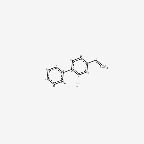 C=Cc1ccc(-c2ccccn2)cc1.[Ir]